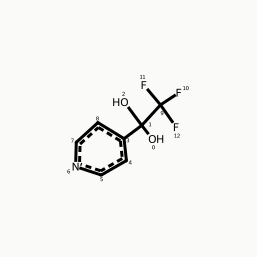 OC(O)(c1ccncc1)C(F)(F)F